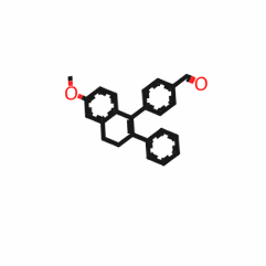 COc1ccc2c(c1)CCC(c1ccccc1)=C2c1ccc(C=O)cc1